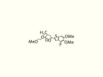 COCCOC(=O)[C@@H](C)CC(=O)c1cc2c(F)c(OC)c(OC)cc2s1